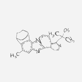 Cc1cc2nc3c4ccnc(C(C)(C)C)c4ccn3c2c2c1C1CCC2C1